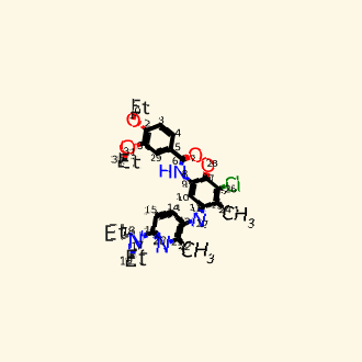 CCOc1ccc(C(=O)NC2=C/C(=N\c3ccc(N(CC)CC)nc3C)C(C)=C(Cl)C2=O)cc1OCC